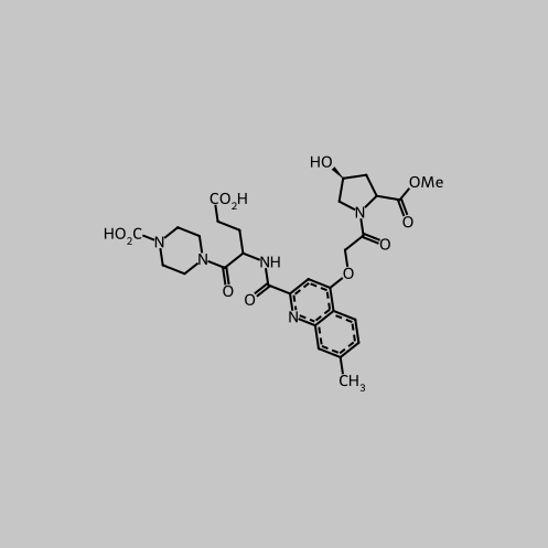 COC(=O)C1C[C@H](O)CN1C(=O)COc1cc(C(=O)NC(CCC(=O)O)C(=O)N2CCN(C(=O)O)CC2)nc2cc(C)ccc12